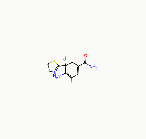 CC1=C(N)C(Cl)(c2nccs2)CC(C(N)=O)=C1